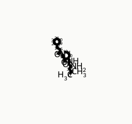 CC(C)C[C@H](N)C(=O)NC1CCCN(C(=O)CCC2CCCCC2)CC1=O